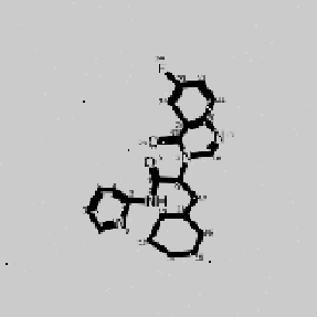 O=C(Nc1ccccn1)C(CC1CCCCC1)n1cnc2ccc(F)cc2c1=O